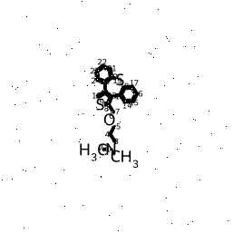 CN(C)CCCOCc1scc2c1-c1ccccc1Sc1ccccc1-2